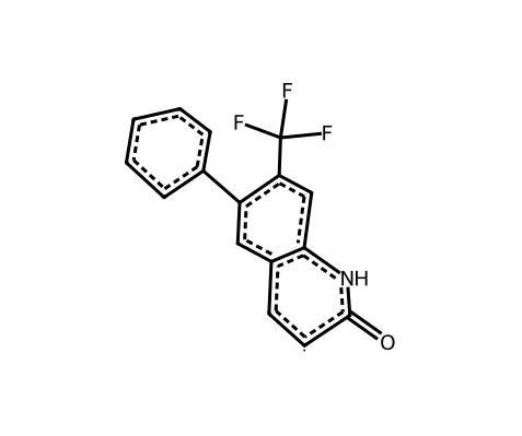 O=c1[c]cc2cc(-c3ccccc3)c(C(F)(F)F)cc2[nH]1